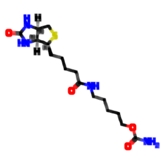 NC(=O)OCCCCCNC(=O)CCCC[C@@H]1SC[C@@H]2NC(=O)N[C@@H]21